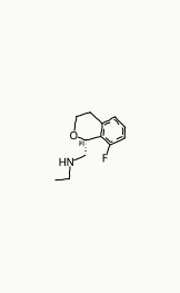 CCNC[C@@H]1OCCc2cccc(F)c21